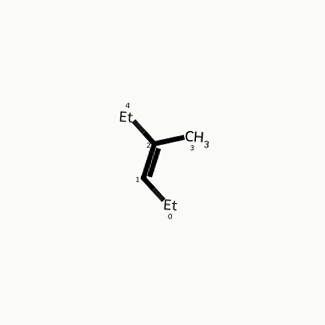 CCC=C(C)CC